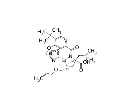 C=CCOC[C@H]1C[C@@](CC(C)C)(C(=O)O)N(C(=O)c2ccc(C(C)(C)C)c(OC)c2)[C@H]1c1nccs1